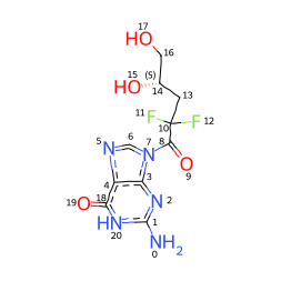 Nc1nc2c(ncn2C(=O)C(F)(F)C[C@H](O)CO)c(=O)[nH]1